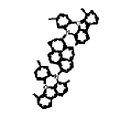 Cc1ccc(C)c(N(c2ccc3ccc4c(N(c5cc(C)ccc5C)c5c(C)ccc6c5oc5c(C)cccc56)ccc5ccc2c3c54)c2c(C)ccc3c2oc2c(C)cccc23)c1